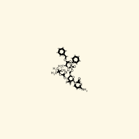 C[C@H](NP(=O)(OC[C@H]1O[C@@H](n2ccc(N)nc2=O)C(F)(F)[C@@H]1OC(=O)OC(C)(C)C)Oc1ccccc1)C(=O)OCc1ccccc1